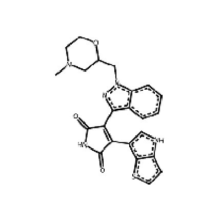 CN1CCOC(Cn2nc(C3=C(c4c[nH]c5ccsc45)C(=O)NC3=O)c3ccccc32)C1